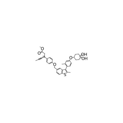 CC#C[C@@H](CC(=O)OC)c1ccc(OCc2ccc3sc(C)c(-c4ccc(OC5CCS(O)(O)CC5)cc4C)c3c2)cc1